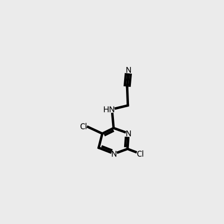 N#CCNc1nc(Cl)ncc1Cl